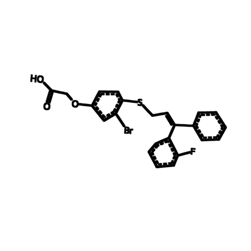 O=C(O)COc1ccc(SCC=C(c2ccccc2)c2ccccc2F)c(Br)c1